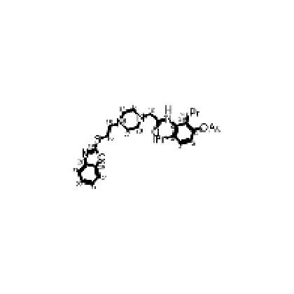 CC(=O)Oc1ccc(C(C)C)c(NC(=O)CN2CCN(CCSc3nc4ccccc4o3)CC2)c1C(C)C